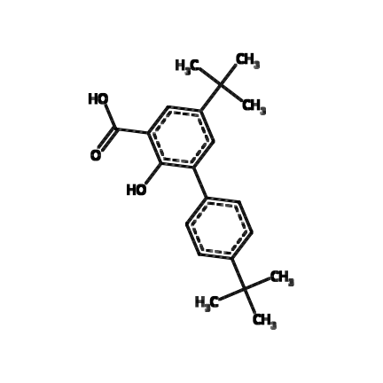 CC(C)(C)c1ccc(-c2cc(C(C)(C)C)cc(C(=O)O)c2O)cc1